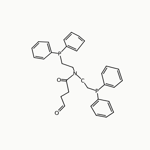 O=CCCC(=O)N(CCP(c1ccccc1)c1ccccc1)CCP(c1ccccc1)c1ccccc1